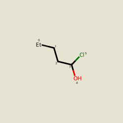 CCCC[C](O)Cl